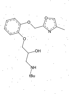 Cc1coc(COc2ccccc2OCC(O)CNC(C)(C)C)n1